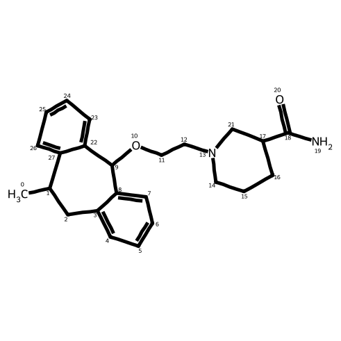 CC1Cc2ccccc2C(OCCN2CCCC(C(N)=O)C2)c2ccccc21